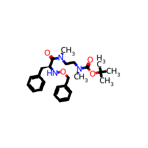 CN(CCN(C)C(=O)[C@H](Cc1ccccc1)NOCc1ccccc1)C(=O)OC(C)(C)C